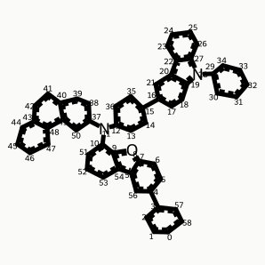 c1ccc(-c2ccc3oc4c(N(c5ccc(-c6ccc7c(c6)c6ccccc6n7-c6ccccc6)cc5)c5ccc6ccc7ccccc7c6c5)cccc4c3c2)cc1